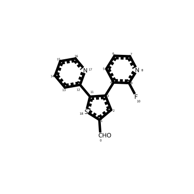 O=Cc1cc(-c2cccnc2F)c(-c2ccccn2)s1